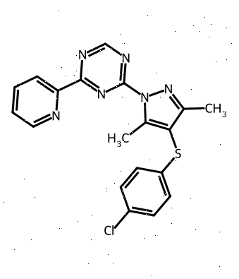 Cc1nn(-c2ncnc(-c3ccccn3)n2)c(C)c1Sc1ccc(Cl)cc1